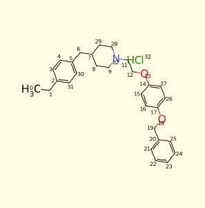 CCc1ccc(CC2CCN(CCOc3ccc(OCc4ccccc4)cc3)CC2)cc1.Cl